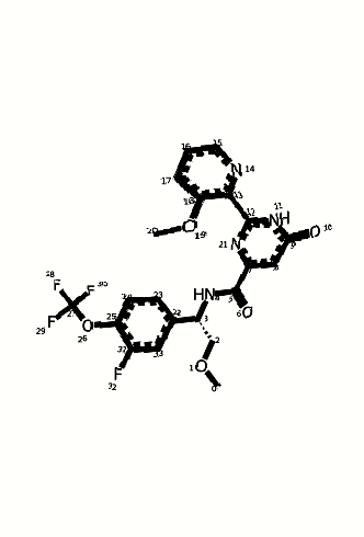 COC[C@@H](NC(=O)c1cc(=O)[nH]c(-c2ncccc2OC)n1)c1ccc(OC(F)(F)F)c(F)c1